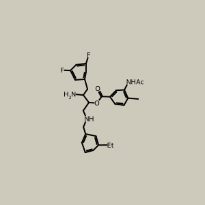 CCc1cccc(CNCC(OC(=O)c2ccc(C)c(NC(C)=O)c2)C(N)Cc2cc(F)cc(F)c2)c1